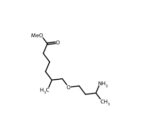 COC(=O)CCCC(C)COCCC(C)N